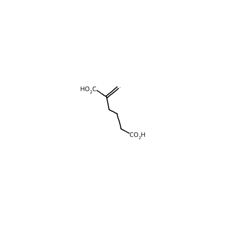 [CH]=C(CCCC(=O)O)C(=O)O